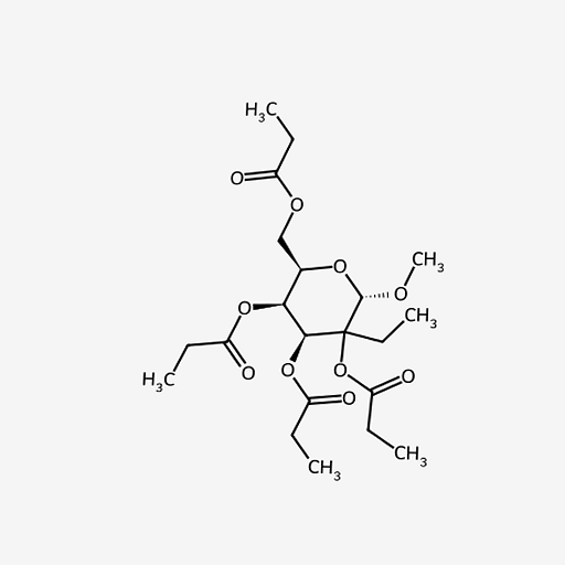 CCC(=O)OC[C@H]1O[C@H](OC)C(CC)(OC(=O)CC)[C@@H](OC(=O)CC)[C@H]1OC(=O)CC